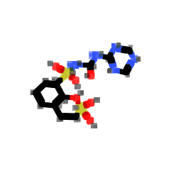 O=C(Nc1ncncn1)NS(=O)(=O)c1cccc2c1OS(=O)(=O)C=C2